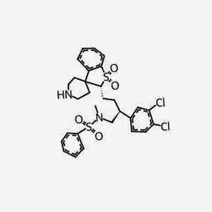 CN(C[C@@H](CC[C@@H]1C2(CCNCC2)c2ccccc2S1(=O)=O)c1ccc(Cl)c(Cl)c1)S(=O)(=O)c1ccccc1